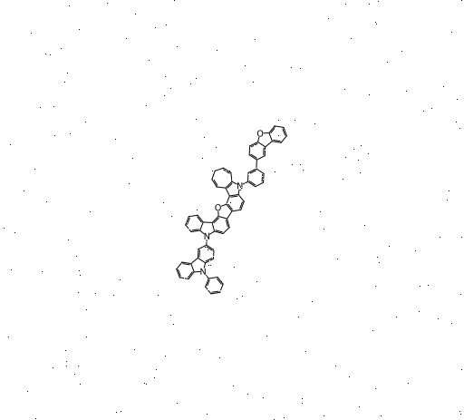 C1=Cc2c(n(-c3cccc(-c4ccc5oc6ccccc6c5c4)c3)c3ccc4c5ccc6c(c7ccccc7n6-c6ccc7c(c6)c6ccccc6n7-c6ccccc6)c5oc4c23)C=CC1